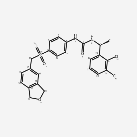 C[C@H](NC(=O)Nc1ccc(S(=O)(=O)Cc2ccc3c(c2)COC3)cc1)c1cccc(Cl)c1Cl